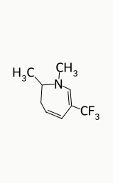 CC1CC=CC(C(F)(F)F)=CN1C